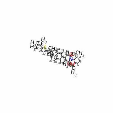 CC(C)c1cccc(C(C)C)c1N1C(=O)c2ccc3c4ccc(C(C)(C)c5ccc(C(C)(C)C)s5)c5cccc(c6ccc(c2c36)C1O)c54